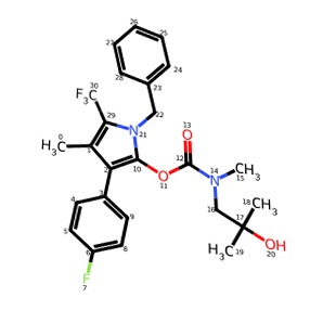 Cc1c(-c2ccc(F)cc2)c(OC(=O)N(C)CC(C)(C)O)n(Cc2ccccc2)c1C(F)(F)F